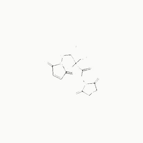 C[C@@H](NN1C(=O)C=CC1=O)C(C)(C)C(=O)ON1C(=O)CCC1=O